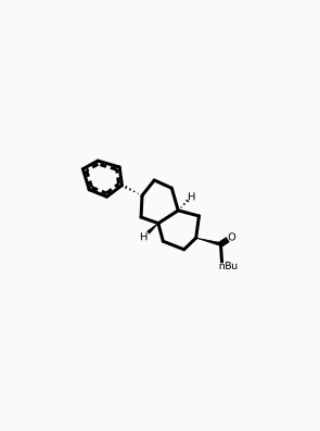 CCCCC(=O)[C@H]1CC[C@@H]2C[C@H](c3ccccc3)CC[C@H]2C1